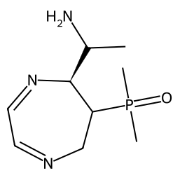 CC(N)[C@@H]1N=CC=NCC1P(C)(C)=O